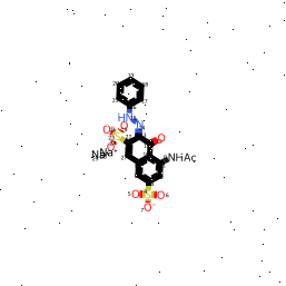 CC(=O)Nc1cc(S(=O)(=O)[O-])cc2c1C(=O)/C(=N/Nc1ccccc1)C(S(=O)(=O)[O-])=C2.[Na+].[Na+]